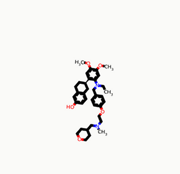 CCN(Cc1ccc(OCCN(C)CC2CCOCC2)cc1)c1cc(OC)c(OC)cc1[C@@H]1CCc2cc(O)ccc2C1